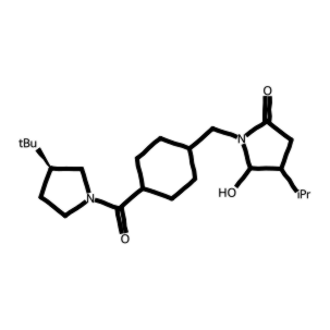 CC(C)C1CC(=O)N(CC2CCC(C(=O)N3CC[C@@H](C(C)(C)C)C3)CC2)C1O